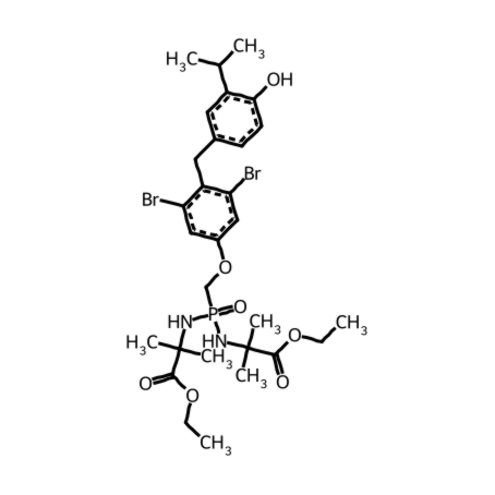 CCOC(=O)C(C)(C)NP(=O)(COc1cc(Br)c(Cc2ccc(O)c(C(C)C)c2)c(Br)c1)NC(C)(C)C(=O)OCC